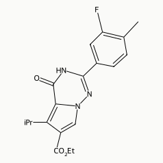 CCOC(=O)c1cn2nc(-c3ccc(C)c(F)c3)[nH]c(=O)c2c1C(C)C